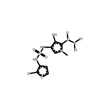 CCN(CC)[S+]([O-])c1c(O)c(NS(=O)(=O)Nc2ccsc2Cl)cn1C